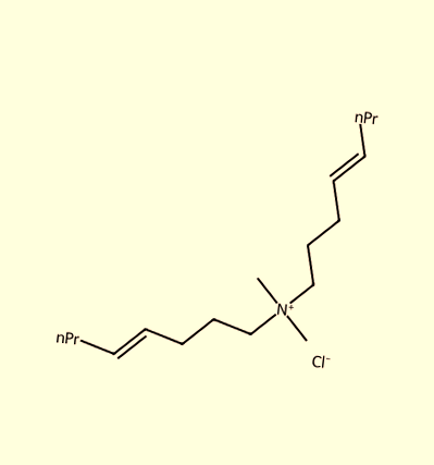 CCC/C=C/CCC[N+](C)(C)CCC/C=C/CCC.[Cl-]